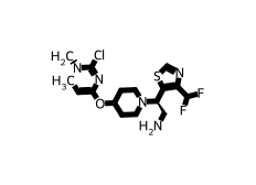 C=N/C(Cl)=N\C(=C/C)OC1CCN([C@H](CN)c2scnc2C(F)F)CC1